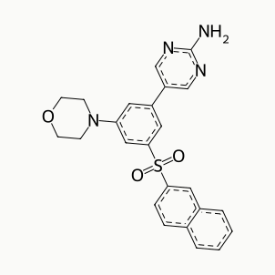 Nc1ncc(-c2cc(N3CCOCC3)cc(S(=O)(=O)c3ccc4ccccc4c3)c2)cn1